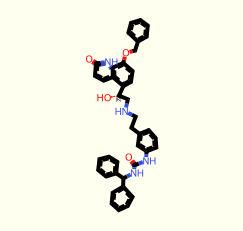 O=C(Nc1cccc(CCNC[C@H](O)c2ccc(OCc3ccccc3)c3[nH]c(=O)ccc23)c1)NC(c1ccccc1)c1ccccc1